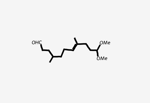 COC(CCC(C)=CCCC(C)CCC=O)OC